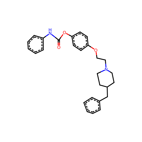 O=C(Nc1ccccc1)Oc1ccc(OCCN2CCC(Cc3ccccc3)CC2)cc1